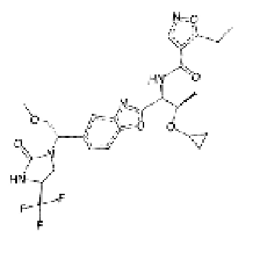 CCc1oncc1C(=O)N[C@H](c1nc2cc([C@@H](COC)N3C[C@@H](C(F)(F)F)NC3=O)ccc2o1)[C@@H](C)OC1CC1